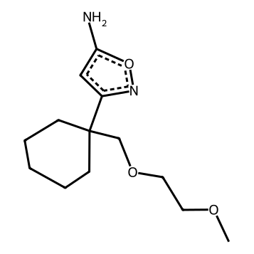 COCCOCC1(c2cc(N)on2)CCCCC1